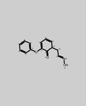 O=C1C(Oc2ccccc2)=CC=CC1CC=NO